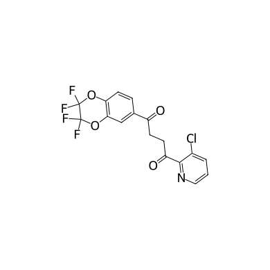 O=C(CCC(=O)c1ncccc1Cl)c1ccc2c(c1)OC(F)(F)C(F)(F)O2